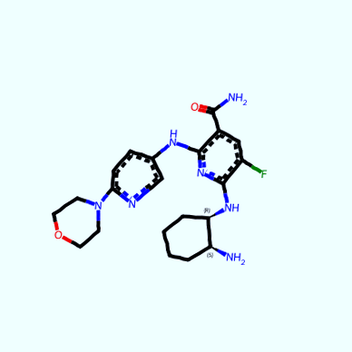 NC(=O)c1cc(F)c(N[C@@H]2CCCC[C@@H]2N)nc1Nc1ccc(N2CCOCC2)nc1